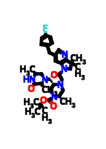 CC1CN(C[C@H]2CN(C(=O)OC(C)(C)C)[C@H](C)CN2CC(=O)N2CC(C)(C)c3ncc(Cc4ccc(F)cc4)cc32)C(C)C(=O)N1